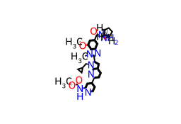 COC(=O)Nc1cc(-c2ccc3cc(-c4nc5cc(C(=O)N6C[C@H]7CC[C@@H]6[C@@H]7N)cc(OC)c5n4C)n(CC4CC4)c3n2)ccn1